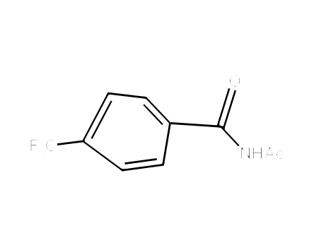 CC(=O)NC(=O)c1ccc(C(F)(F)F)cc1